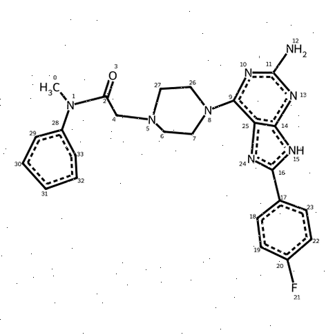 CN(C(=O)CN1CCN(c2nc(N)nc3[nH]c(-c4ccc(F)cc4)nc23)CC1)c1ccccc1